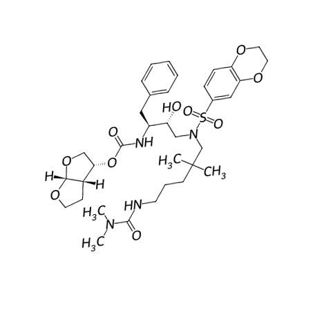 CN(C)C(=O)NCCCC(C)(C)CN(C[C@@H](O)[C@H](Cc1ccccc1)NC(=O)O[C@H]1CO[C@H]2OCC[C@H]21)S(=O)(=O)c1ccc2c(c1)OCCO2